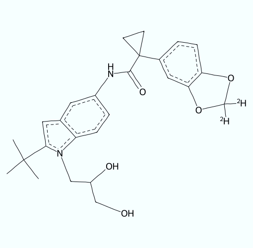 [2H]C1([2H])Oc2ccc(C3(C(=O)Nc4ccc5c(c4)cc(C(C)(C)C)n5CC(O)CO)CC3)cc2O1